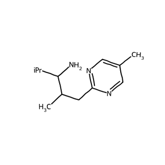 Cc1cnc(CC(C)C(N)C(C)C)nc1